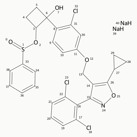 O=S(OC1CCC1(O)c1ccc(OCc2c(-c3c(Cl)cccc3Cl)noc2C2CC2)cc1Cl)c1ccccc1.[NaH].[NaH]